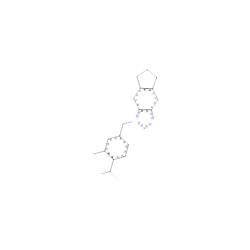 Cc1cc(Cn2cnc3cc4c(cc32)CCC4)ccc1C(C)O